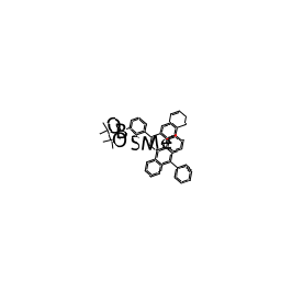 CSc1c(B2OC(C)(C)C(C)(C)O2)cccc1/C(=C/c1c2ccccc2c(-c2ccccc2)c2ccccc12)c1ccc2c(c1)C=CCC2